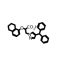 O=C(O)C(Cn1cc(C(c2ccccc2)c2ccccc2)cn1)Oc1cccc2c1CCCC2